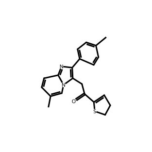 Cc1ccc(-c2nc3ccc(C)cn3c2CC(=O)C2=CCCS2)cc1